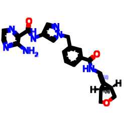 Nc1nccnc1C(=O)Nc1cnn(Cc2cccc(C(=O)N/C=C3/[C@H]4COC[C@@H]34)c2)c1